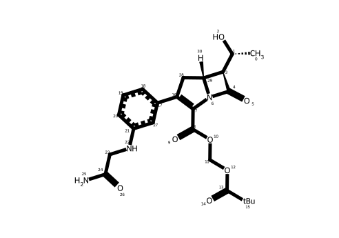 C[C@@H](O)[C@H]1C(=O)N2C(C(=O)OCOC(=O)C(C)(C)C)=C(c3cccc(NCC(N)=O)c3)C[C@H]12